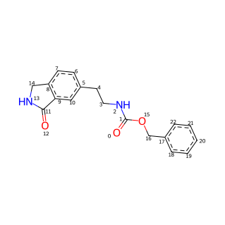 O=C(NCCc1ccc2c(c1)C(=O)NC2)OCc1ccccc1